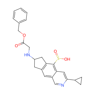 O=C(CNC1Cc2cc3cnc(C4CC4)cc3c(S(=O)O)c2C1)OCc1ccccc1